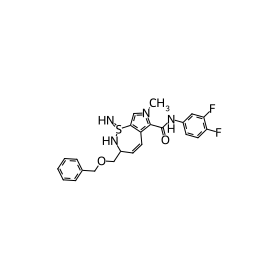 Cn1cc2c(c1C(=O)Nc1ccc(F)c(F)c1)C=CC(COCc1ccccc1)NS2=N